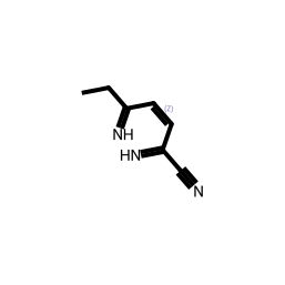 CCC(=N)/C=C\C(=N)C#N